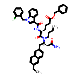 CCCCN(C(=O)[C@H](CCCC(=O)OCc1ccccc1)NC(=O)c1cn(Cc2ccccc2Cl)c2ccccc12)[C@H](CC(N)=O)Cc1ccc2cc(CC)ccc2c1